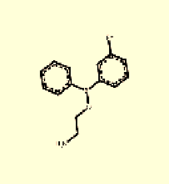 CCc1cccc(B(OCCN)c2ccccc2)c1